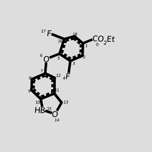 CCOC(=O)c1cc(F)c(Oc2ccc3c(c2)COB3)c(F)c1